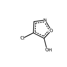 Oc1oncc1Cl